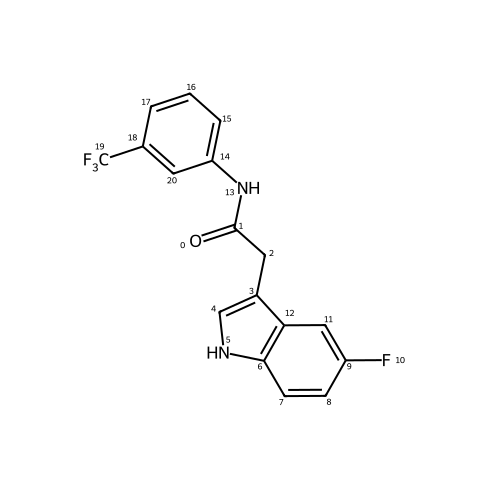 O=C(Cc1c[nH]c2ccc(F)cc12)Nc1cccc(C(F)(F)F)c1